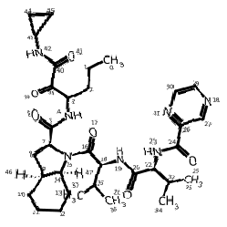 CCCC(NC(=O)[C@@H]1C[C@@H]2CCCC[C@@H]2N1C(=O)[C@@H](NC(=O)[C@@H](NC(=O)c1cnccn1)C(C)C)C(C)C)C(=O)C(=O)NC1CC1